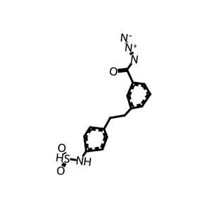 [N-]=[N+]=NC(=O)c1cccc(CCc2ccc(N[SH](=O)=O)cc2)c1